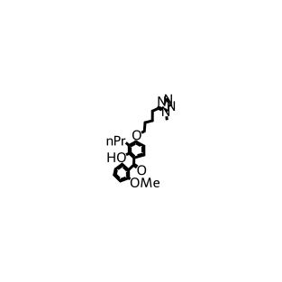 CCCc1c(OCCCCc2nnnn2C)ccc(C(=O)c2ccccc2OC)c1O